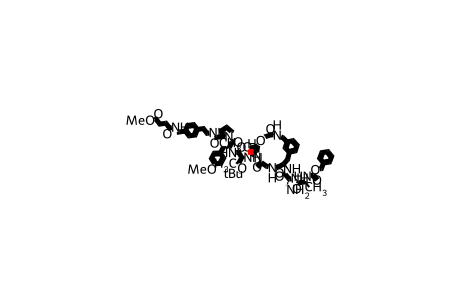 COC(=O)CCC(=O)NCc1ccc(CCNC(=O)[C@]2(C)CCCN2C(=O)[C@H](Cc2ccc(OC)cc2)NC(=O)[C@@H](NC(=O)C2[C@@H]3CCN2C(=O)CNC(=O)[C@@H](NC(=O)[C@@H](CN)NC(=O)[C@H](C)NC(=O)OCc2ccccc2)Cc2cccc(c2)CNC(=O)CO3)[C@@H](C)OC(C)(C)C)cc1